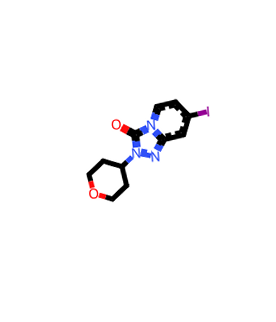 O=c1n(C2CCOCC2)nc2cc(I)ccn12